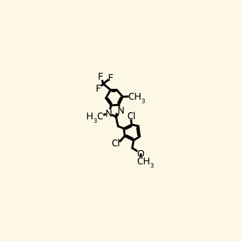 COCc1ccc(Cl)c(Cc2nc3c(C)cc(C(F)(F)F)cc3n2C)c1Cl